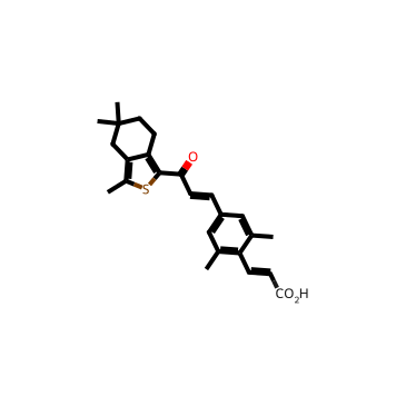 Cc1cc(/C=C/C(=O)c2sc(C)c3c2CCC(C)(C)C3)cc(C)c1/C=C/C(=O)O